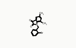 Cc1cc(C)c2c(c1)C(=O)C(=O)N2Cc1ccccc1Br